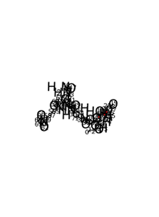 CCCC1O[C@@H]2C[C@@H]3C(C[C@H](O)[C@H]4[C@H]3CCC3=CC(=O)C=C[C@@]34C)[C@]2(C(=O)COC(=O)NCc2ccc(NC(=O)[C@H](CCCNC(N)=O)NC(=O)[C@@H](NC(=O)CCCCCN3C(=O)C=CC3=O)C(C)C)cc2)O1